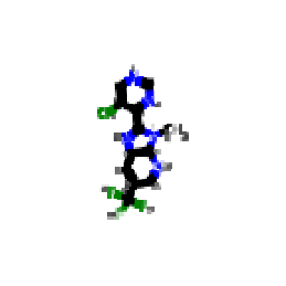 Cn1c(-c2ncncc2Cl)nc2cc(C(F)(F)F)cnc21